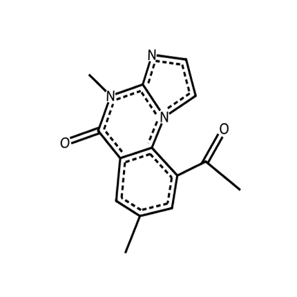 CC(=O)c1cc(C)cc2c(=O)n(C)c3nccn3c12